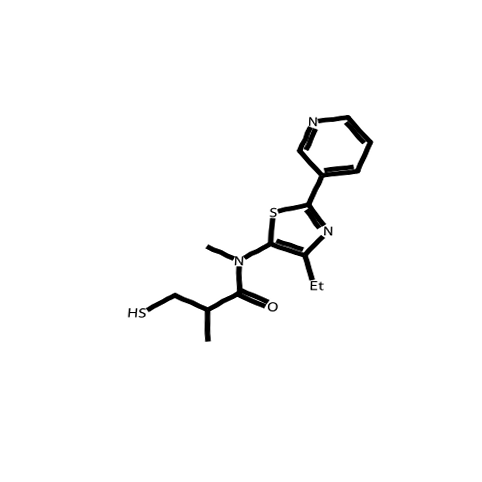 CCc1nc(-c2cccnc2)sc1N(C)C(=O)C(C)CS